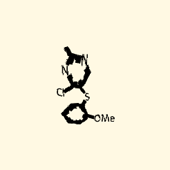 COc1ccccc1Sc1cnc(C)nc1Cl